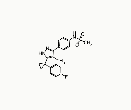 Cc1c(-c2ccc(NS(C)(=O)=O)cc2)n[nH]c1C1(c2ccc(F)cc2)CC1